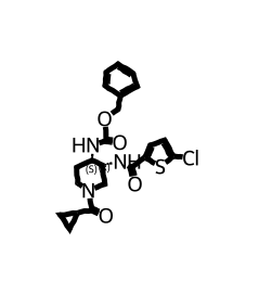 O=C(N[C@H]1CCN(C(=O)C2CC2)C[C@H]1NC(=O)c1ccc(Cl)s1)OCc1ccccc1